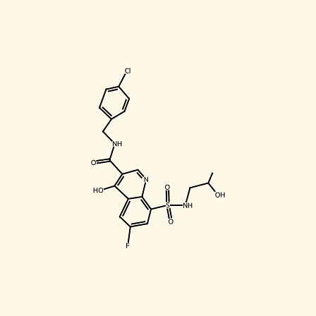 CC(O)CNS(=O)(=O)c1cc(F)cc2c(O)c(C(=O)NCc3ccc(Cl)cc3)cnc12